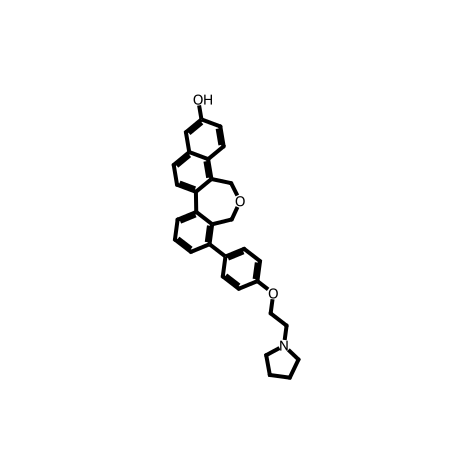 Oc1ccc2c3c(ccc2c1)-c1cccc(-c2ccc(OCCN4CCCC4)cc2)c1COC3